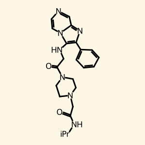 CC(C)NC(=O)CN1CCN(C(=O)CNc2c(-c3ccccc3)nc3cnccn23)CC1